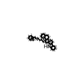 c1ccc(CNCCCCN(Cc2nccc3c2[nH]c2ccccc23)C2CCCc3cccnc32)nc1